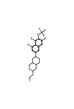 CCCC1CCC2CC(c3cc(F)c4c(F)c(OC(F)(F)F)c(F)cc4c3)CCC2C1